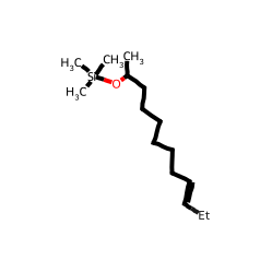 CCC=CCCCCCCC(C)O[Si](C)(C)C